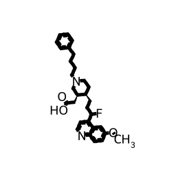 COc1ccc2nccc(C(F)CC[C@@H]3CCN(CCCCc4ccccc4)C[C@@H]3CC(=O)O)c2c1